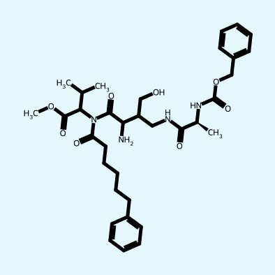 COC(=O)C(C(C)C)N(C(=O)CCCCCc1ccccc1)C(=O)C(N)C(CO)CNC(=O)[C@H](C)NC(=O)OCc1ccccc1